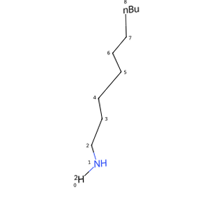 [2H]NCCCCCCCCCC